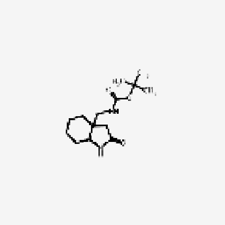 CC(C)(C)OC(=O)NCC12CCCCC1NC(=O)C2